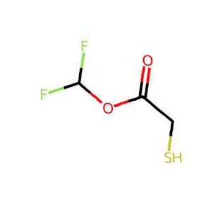 O=C(CS)OC(F)F